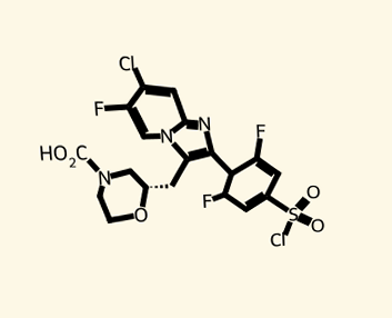 O=C(O)N1CCO[C@@H](Cc2c(C3C(F)=CC(S(=O)(=O)Cl)=CC3F)nc3cc(Cl)c(F)cn23)C1